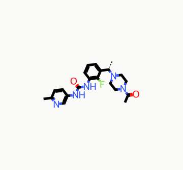 CC(=O)N1CCN([C@@H](C)c2cccc(NC(=O)Nc3ccc(C)nc3)c2F)CC1